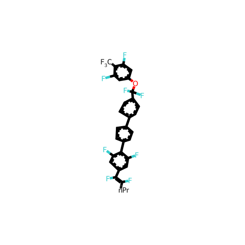 CCC/C(F)=C(\F)c1cc(F)c(-c2ccc(-c3ccc(C(F)(F)Oc4cc(F)c(C(F)(F)F)c(F)c4)cc3)cc2)c(F)c1